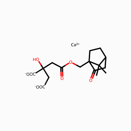 CC1(C)C2CCC1(COC(=O)CC(O)(CC(=O)[O-])C(=O)[O-])C(=O)C2.[Ca+2]